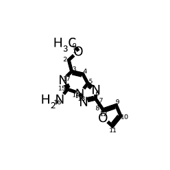 COCc1cc2nc(-c3ccco3)nn2c(N)n1